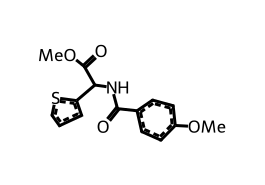 COC(=O)C(NC(=O)c1ccc(OC)cc1)c1cccs1